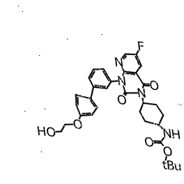 CC(C)(C)OC(=O)N[C@H]1CC[C@@H](n2c(=O)c3cc(F)cnc3n(-c3cccc(-c4ccc(OCCO)cc4)c3)c2=O)CC1